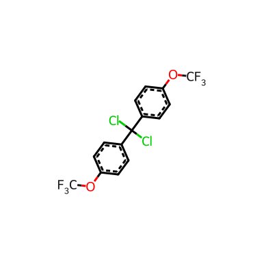 FC(F)(F)Oc1ccc(C(Cl)(Cl)c2ccc(OC(F)(F)F)cc2)cc1